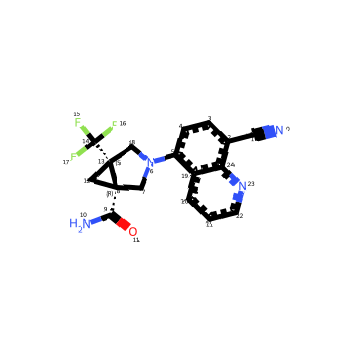 N#Cc1ccc(N2C[C@@]3(C(N)=O)C[C@@]3(C(F)(F)F)C2)c2cccnc12